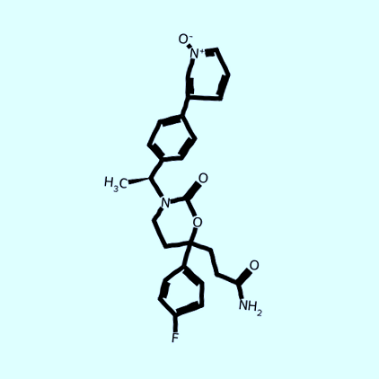 C[C@@H](c1ccc(-c2ccc[n+]([O-])c2)cc1)N1CCC(CCC(N)=O)(c2ccc(F)cc2)OC1=O